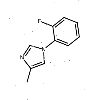 Cc1cn(-c2cc[c]cc2F)cn1